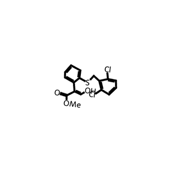 COC(=O)/C(=C/O)c1ccccc1SCc1c(Cl)cccc1Cl